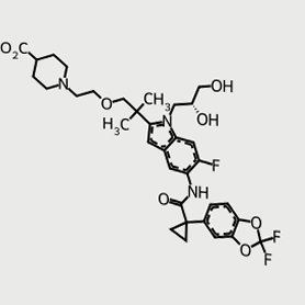 CC(C)(COCCN1CCC(C(=O)O)CC1)c1cc2cc(NC(=O)C3(c4ccc5c(c4)OC(F)(F)O5)CC3)c(F)cc2n1C[C@@H](O)CO